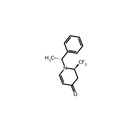 C[C@H](c1ccccc1)N1C=CC(=O)C[C@@H]1C(F)(F)F